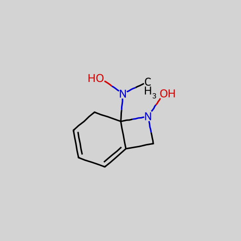 CN(O)C12CC=CC=C1CN2O